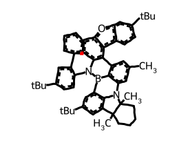 Cc1cc2c3c(c1)N1c4c(cc(C(C)(C)C)cc4C4(C)CCCCC14C)B3N(c1ccc(C(C)(C)C)cc1-c1ccccc1)c1ccc3oc4cc(C(C)(C)C)ccc4c3c1-2